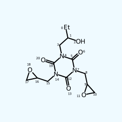 CCC(O)Cn1c(=O)n(CC2CO2)c(=O)n(CC2CO2)c1=O